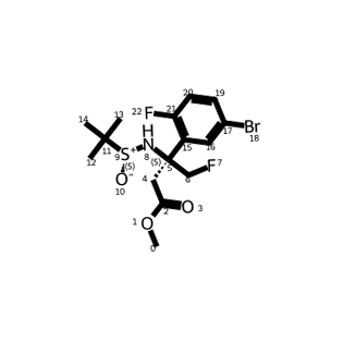 COC(=O)C[C@](CF)(N[S@+]([O-])C(C)(C)C)c1cc(Br)ccc1F